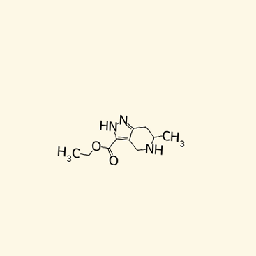 CCOC(=O)c1[nH]nc2c1CNC(C)C2